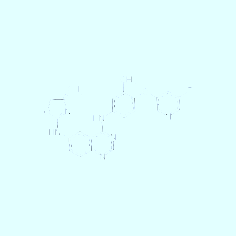 C=C1COC(Nc2ccc3ncnc(Nc4ccc(Oc5cncc(F)c5)c(C)c4)c3c2)=N1